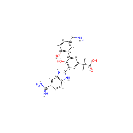 CC(C)(C(=O)O)c1cc(-c2nc3cc(C(=N)N)ccc3[nH]2)c(O)c(-c2cc(CN)ccc2O)c1